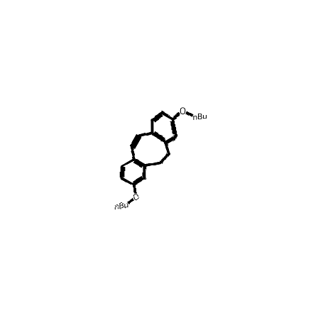 CCCCOc1ccc2c(c1)CCc1cc(OCCCC)ccc1C#C2